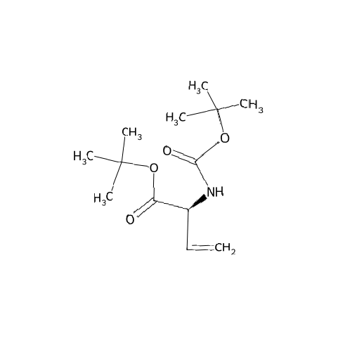 C=C[C@H](NC(=O)OC(C)(C)C)C(=O)OC(C)(C)C